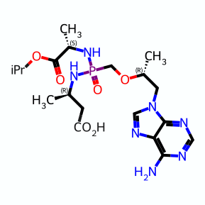 CC(C)OC(=O)[C@H](C)NP(=O)(CO[C@H](C)Cn1cnc2c(N)ncnc21)N[C@H](C)CC(=O)O